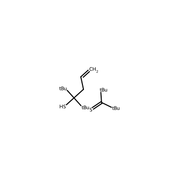 C=CCC(S)(C(C)(C)C)C(C)(C)C.CC(C)(C)C(=S)C(C)(C)C